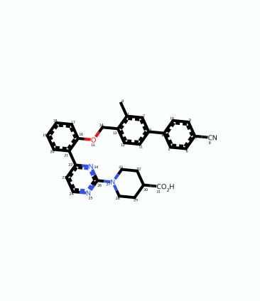 Cc1cc(-c2ccc(C#N)cc2)ccc1COc1ccccc1-c1ccnc(N2CCC(C(=O)O)CC2)n1